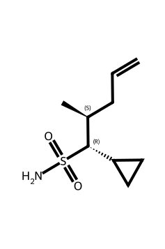 C=CC[C@H](C)[C@H](C1CC1)S(N)(=O)=O